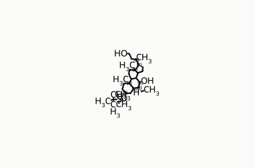 CC[C@H]1[C@@H](O)C2C3CC[C@H]([C@H](C)CCO)[C@@]3(C)CCC2[C@@]2(C)CC[C@@H](O[Si](C)(C)C(C)(C)C)C[C@@H]12